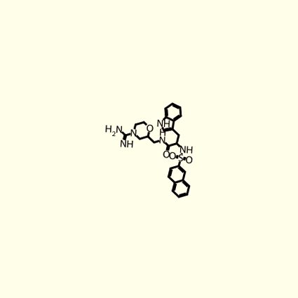 N=C(N)N1CCOC(CNC(=O)C(Cc2c[nH]c3ccccc23)NS(=O)(=O)c2ccc3ccccc3c2)C1